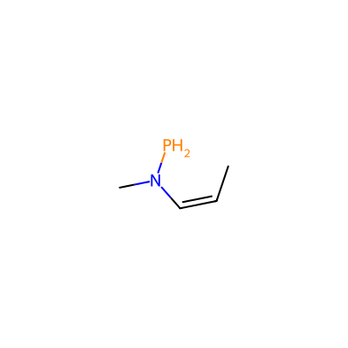 C/C=C\N(C)P